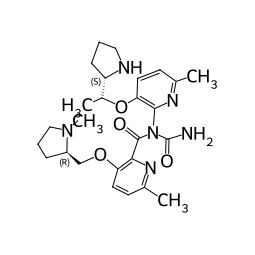 Cc1ccc(OC[C@H]2CCCN2C)c(C(=O)N(C(N)=O)c2nc(C)ccc2OC(C)[C@@H]2CCCN2)n1